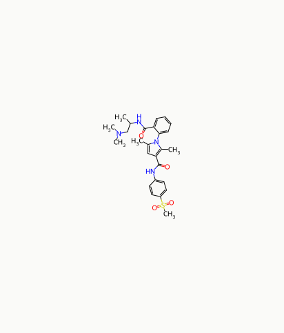 Cc1cc(C(=O)Nc2ccc(S(C)(=O)=O)cc2)c(C)n1-c1ccccc1C(=O)NC(C)CN(C)C